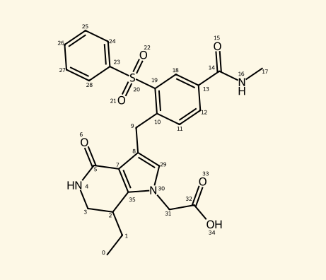 CCC1CNC(=O)c2c(Cc3ccc(C(=O)NC)cc3S(=O)(=O)c3ccccc3)cn(CC(=O)O)c21